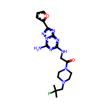 CC(C)(F)CN1CCN(C(=O)CNc2nc(N)n3nc(-c4ccco4)nc3n2)CC1